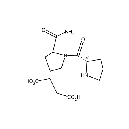 NC(=O)C1CCCN1C(=O)[C@@H]1CCCN1.O=C(O)CCC(=O)O